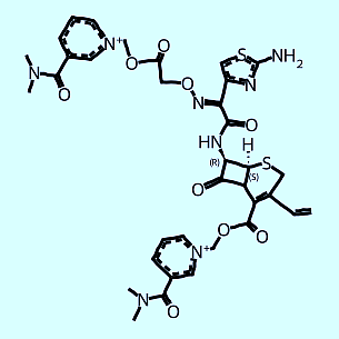 C=CC1=C(C(=O)OC[n+]2cccc(C(=O)N(C)C)c2)C2C(=O)[C@@H](NC(=O)C(=NOCC(=O)OC[n+]3cccc(C(=O)N(C)C)c3)c3csc(N)n3)[C@H]2SC1